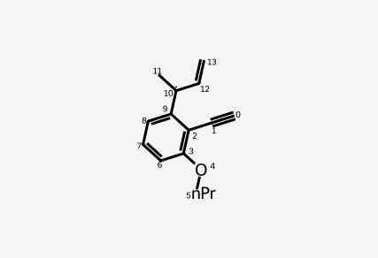 C#Cc1c(OCCC)cccc1[C](C)C=C